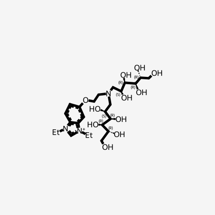 CCn1c[n+](CC)c2cc(OCCN(C[C@H](O)[C@@H](O)[C@H](O)[C@H](O)CO)C[C@H](O)[C@@H](O)[C@H](O)[C@H](O)CO)ccc21